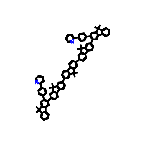 CC1(C)c2cc(-c3ccc4c(c3)C(C)(C)c3cc(-c5cc6c(cc5-c5ccc(-c7ccccn7)cc5)C(C)(C)c5ccccc5-6)ccc3-4)ccc2-c2ccc(-c3ccc4c(c3)C(C)(C)c3cc(-c5cc6c(cc5-c5ccc(-c7ccccn7)cc5)C(C)(C)c5ccccc5-6)ccc3-4)cc21